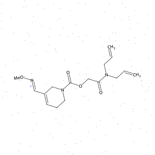 C=CCN(CC=C)C(=O)COC(=O)N1CCC=C(/C=N/OC)C1